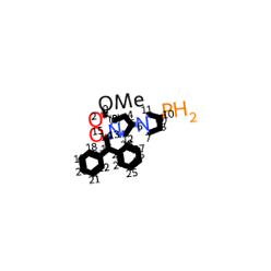 COC(=O)[C@@H]1CC(N2CC[C@H](P)C2)CN1C(=O)C(c1ccccc1)c1ccccc1